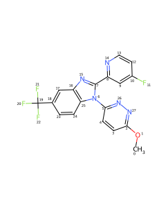 COc1ccc(-n2c(-c3cc(F)ccn3)nc3cc(C(F)(F)F)ccc32)nn1